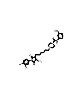 CSc1cccc(NC(=O)N2CCN(CCCCCCC3=C(C)C(=O)N(c4ccc(C#N)c(C(F)(F)F)c4)C3=O)CC2)c1